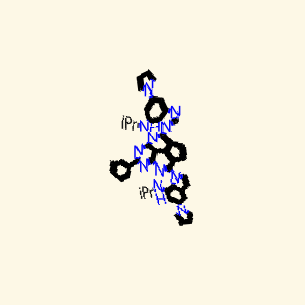 CC(C)Nc1cc(-n2cccc2)cc2ccn(C3=NC4=NC(c5ccccc5)=NC5=NC(n6cnc7cc(-n8cccc8)cc(NC(C)C)c76)=C6C=CC3=C6C45)c12